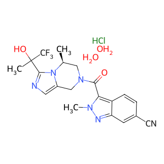 C[C@H]1CN(C(=O)c2c3ccc(C#N)cc3nn2C)Cc2cnc(C(C)(O)C(F)(F)F)n21.Cl.O.O